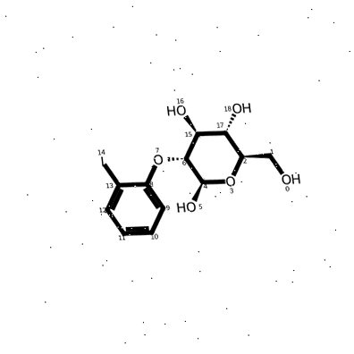 OC[C@H]1O[C@@H](O)[C@H](Oc2ccccc2I)[C@@H](O)[C@@H]1O